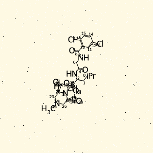 CC(C)CC(NC(=O)CNC(=O)c1cc(Cl)ccc1Cl)B1OC(=O)[C@H]2CN(C)C[C@@H](C(=O)O1)N2C